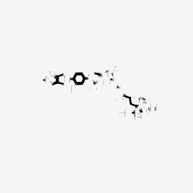 CC(=O)N(C[C@H]1CN(c2ccc(N3Cc4cn(C)nc4C3)c(F)c2)C(=O)O1)C(=O)OCOC(=O)CCC(P(=O)(O)O)P(=O)(O)O